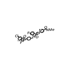 CNC(=O)c1ccc(N2CC3(C2)C(=O)N(CC2CCC(NC(=O)c4cc(Cl)cnc4C(F)F)CC2)c2cc(F)ccc23)nc1